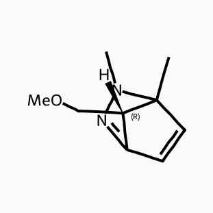 COC[C@H]1C2=NN(C)C1(C)C=C2